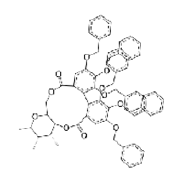 CC1OC2COC(=O)c3cc(OCc4ccccc4)c(OCc4ccccc4)c(OCc4ccccc4)c3-c3c(cc(OCc4ccccc4)c(OCc4ccccc4)c3OCc3ccccc3)C(=O)OC2[C@H](C)[C@@H]1C